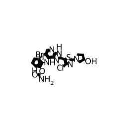 NC(=O)O[C@@H]1[C@H](Nc2c(Br)cnc3[nH]c(-c4sc(N5CC[C@@H](O)C5)nc4Cl)nc23)[C@H]2C=C[C@@H]1C2